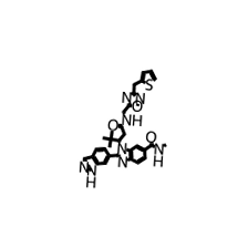 CNC(=O)c1ccc2nc(-c3ccc4cn[nH]c4c3)n(C(CC(=O)NCc3nc(Cc4cccs4)no3)C(C)(C)C)c2c1